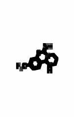 N=C1Sc2cc(C(F)(F)F)ccc2C2NCCCN12